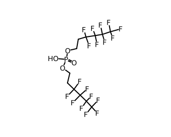 O=P(O)(OCCC(F)(F)C(F)(F)C(F)(F)C(F)(F)F)OCCC(F)(F)C(F)(F)C(F)(F)C(F)(F)F